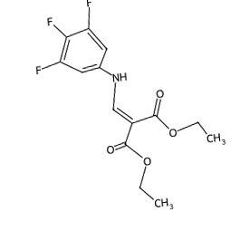 CCOC(=O)C(=CNc1cc(F)c(F)c(F)c1)C(=O)OCC